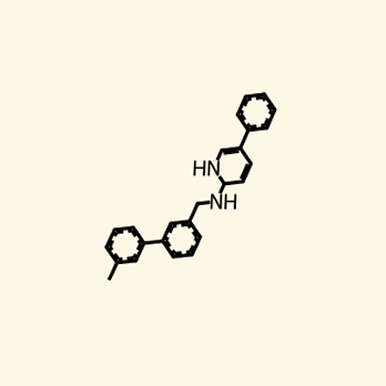 Cc1cccc(-c2cccc(CNC3C=CC(c4ccccc4)=CN3)c2)c1